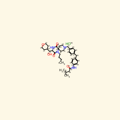 CCCCN1C(=O)[C@@H]([C@H](O)C2CCOCC2)NC(=O)C12CCN(Cc1ccc(Cc3ccc(NC(=O)CC(C)C)cc3)cc1)CC2.Cl